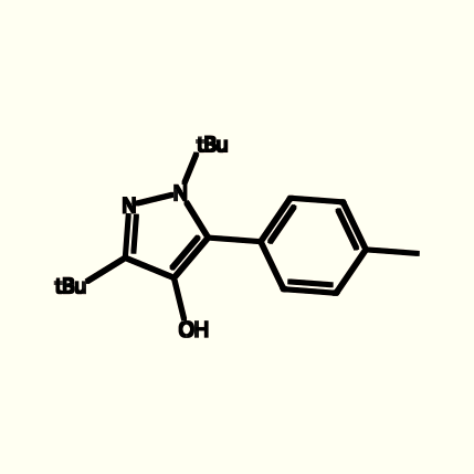 Cc1ccc(-c2c(O)c(C(C)(C)C)nn2C(C)(C)C)cc1